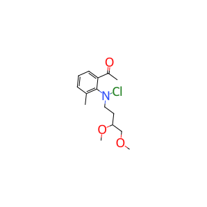 COCC(CCN(Cl)c1c(C)cccc1C(C)=O)OC